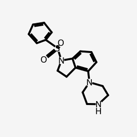 O=S(=O)(c1ccccc1)N1CCc2c(N3CCNCC3)cccc21